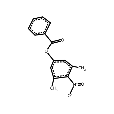 Cc1cc(OC(=O)c2ccccc2)cc(C)c1[N+](=O)[O-]